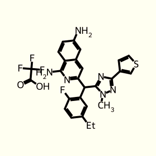 CCc1ccc(F)c(C(c2cc3cc(N)ccc3c(N)n2)c2nc(-c3ccsc3)nn2C)c1.O=C(O)C(F)(F)F